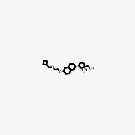 N[C@]1(CO)CC[C@H](c2ccc3c(c2)CC[C@H](OCCOCC2CCC2)C3)C1